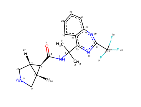 CC(C)(NC(=O)[C@H]1[C@@H]2CNC[C@@H]21)c1nc(C(F)(F)F)nc2ccccc12